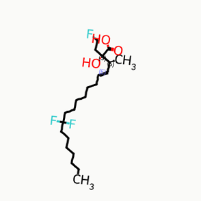 CCCCCCCC(F)(F)CCCCCC/C=C/[C@H](C)[C@@](O)(CCF)C(=O)O